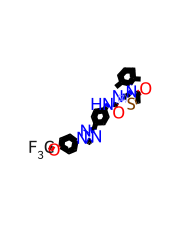 Cc1cccc(C)c1N1C(=O)CS/C1=N\C(=O)Nc1ccc(-c2ncn(-c3ccc(OC(F)(F)F)cc3)n2)cc1